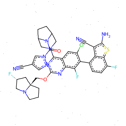 N#Cc1cnn(C(=O)N2C3CCC2CN(c2nc(OC[C@@]45CCCN4C[C@H](F)C5)nc4c(F)c(-c5ccc(F)c6sc(N)c(C#N)c56)c(Cl)cc24)C3)c1